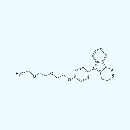 CCOCCOCCOc1ccc(-n2c3c(c4ccccc42)C=CCC3)cc1